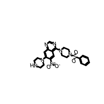 O=[N+]([O-])c1cc2c(N3CCN(S(=O)(=O)c4ccccc4)CC3)ncnc2cc1N1CCNCC1